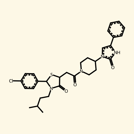 CC(C)CCN1C(=O)C(CC(=O)N2CCC(n3cc(-c4ccccc4)[nH]c3=O)CC2)SC1c1ccc(Cl)cc1